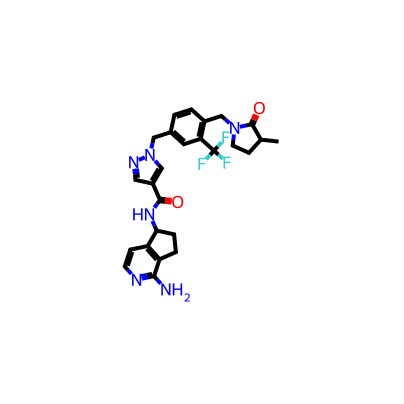 CC1CCN(Cc2ccc(Cn3cc(C(=O)NC4CCc5c4ccnc5N)cn3)cc2C(F)(F)F)C1=O